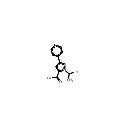 CC(C)n1nc(-c2ccncc2)cc1C(=O)O